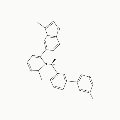 Cc1cncc(-c2cccc([C@H](C)N3C(c4ccc5occ(C)c5c4)=CC=NC3C)c2)c1